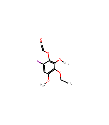 CCOc1c(OC)cc(I)c(OC=C=O)c1OC